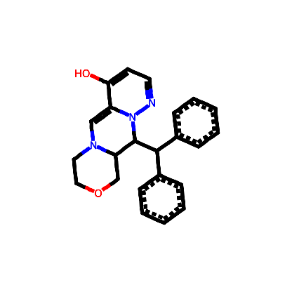 OC1=CC=NN2C1=CN1CCOCC1C2C(c1ccccc1)c1ccccc1